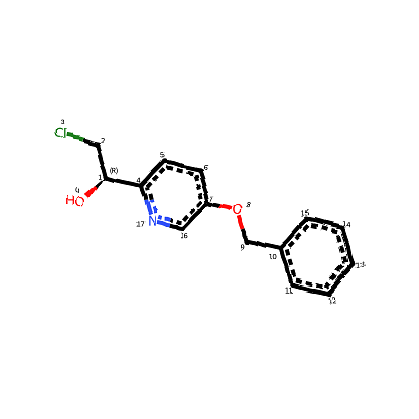 O[C@@H](CCl)c1ccc(OCc2ccccc2)cn1